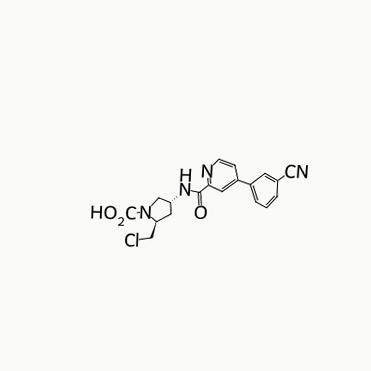 N#Cc1cccc(-c2ccnc(C(=O)N[C@@H]3C[C@@H](CCl)N(C(=O)O)C3)c2)c1